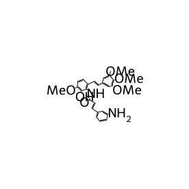 COc1ccc(/C=C/c2cc(OC)c(OC)c(OC)c2)c(NC(=O)/C=C/c2cccc(N)c2)c1O